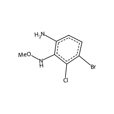 CONc1c(N)ccc(Br)c1Cl